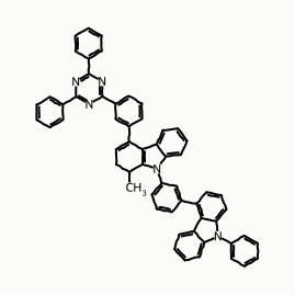 CC1CC=C(c2cccc(-c3nc(-c4ccccc4)nc(-c4ccccc4)n3)c2)c2c1n(-c1cccc(-c3cccc4c3c3ccccc3n4-c3ccccc3)c1)c1ccccc21